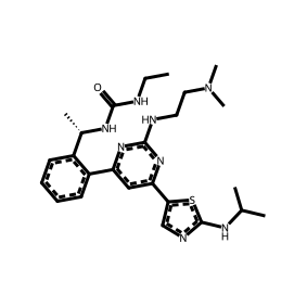 CCNC(=O)N[C@@H](C)c1ccccc1-c1cc(-c2cnc(NC(C)C)s2)nc(NCCN(C)C)n1